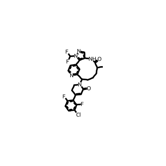 CC1CCCC(N2CCC(c3c(F)ccc(Cl)c3F)=CC2=O)c2cc(ccn2)-c2c(cnn2C(F)F)NC1=O